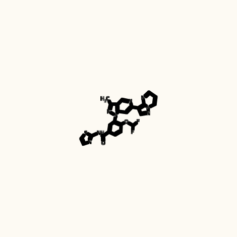 Cc1nn(-c2cc(C(=O)Nc3nccs3)ccc2OC(F)F)c2cc(-c3cnn4cccnc34)ncc12